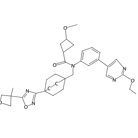 CCOc1ncc(-c2cccc(N(CC34CCC(c5noc(C6(C)COC6)n5)(CC3)CC4)C(=O)C3CC(OC)C3)c2)cn1